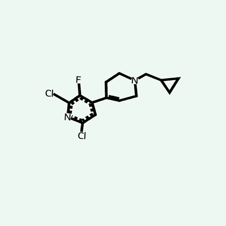 Fc1c(C2=CCN(CC3CC3)CC2)cc(Cl)nc1Cl